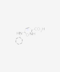 N=C(/C=C\C(=O)Nc1ccccc1)C(=O)O